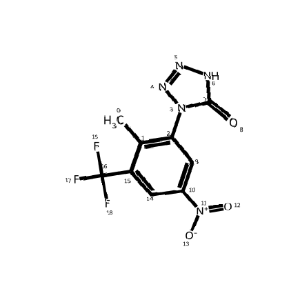 Cc1c(-n2nn[nH]c2=O)cc([N+](=O)[O-])cc1C(F)(F)F